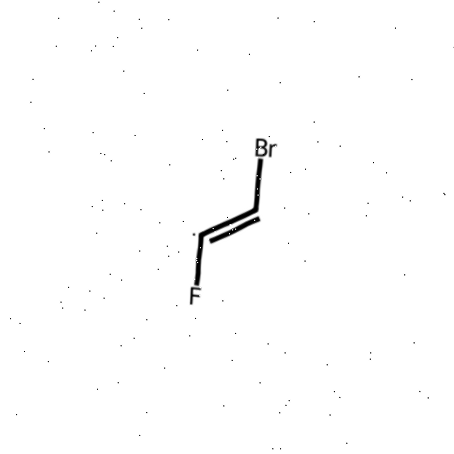 F/[C]=C/Br